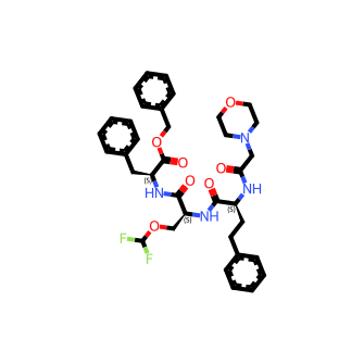 O=C(CN1CCOCC1)N[C@@H](CCc1ccccc1)C(=O)N[C@@H](COC(F)F)C(=O)N[C@@H](Cc1ccccc1)C(=O)OCc1ccccc1